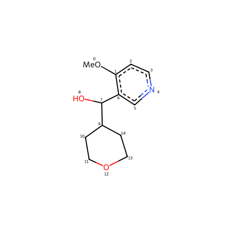 COc1ccncc1C(O)C1CCOCC1